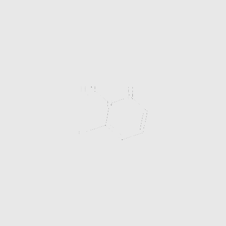 NN1NC=CC=C1Cl